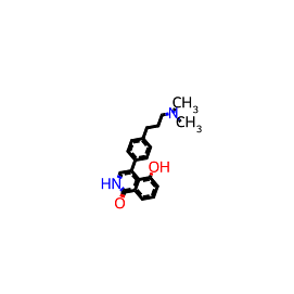 CN(C)CCCc1ccc(-c2c[nH]c(=O)c3cccc(O)c23)cc1